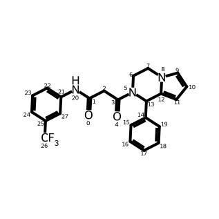 O=C(CC(=O)N1CCn2cccc2C1c1ccccc1)Nc1cccc(C(F)(F)F)c1